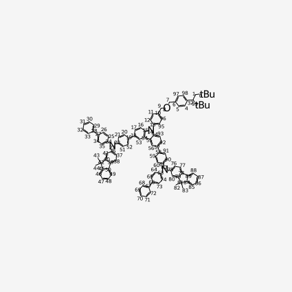 CC(C)(C)CC(c1ccc(COCc2ccc(-n3c4ccc(-c5ccc(N(c6ccc(-c7ccccc7)cc6)c6ccc7c(c6)C(C)(C)c6ccccc6-7)cc5)cc4c4cc(-c5ccc(N(c6ccc(-c7ccccc7)cc6)c6ccc7c(c6)C(C)(C)c6ccccc6-7)cc5)ccc43)cc2)cc1)C(C)(C)C